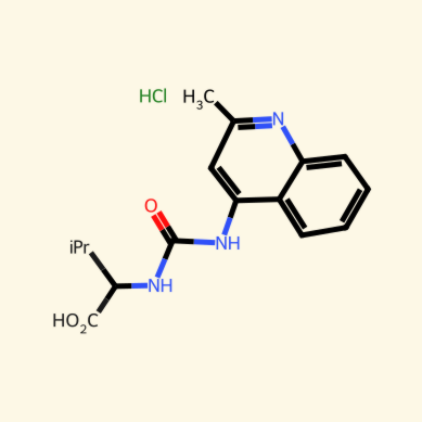 Cc1cc(NC(=O)NC(C(=O)O)C(C)C)c2ccccc2n1.Cl